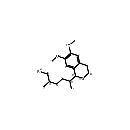 COc1cc2c(cc1OC)C(C(C)CCC(C)CBr)SCC2